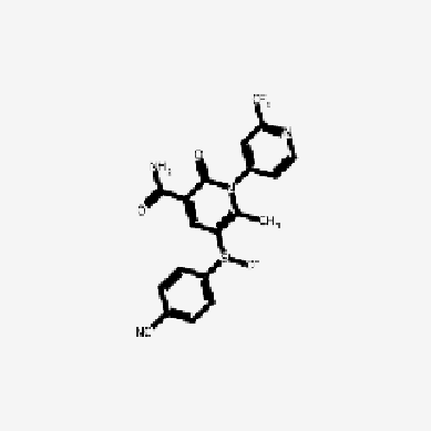 Cc1c([S+]([O-])c2ccc(C#N)cc2)cc(C(N)=O)c(=O)n1-c1ccnc(C(F)(F)F)c1